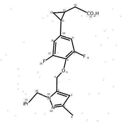 Cc1cc(COc2c(F)cc(C3CC3CC(=O)O)cc2F)n(CC(C)C)n1